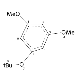 COc1[c]c(OC)cc(OC(C)(C)C)c1